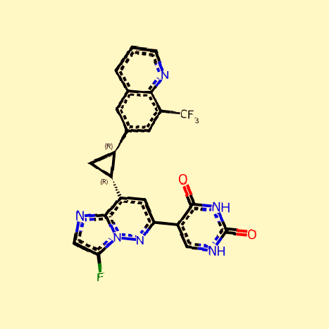 O=c1[nH]cc(-c2cc([C@@H]3C[C@H]3c3cc(C(F)(F)F)c4ncccc4c3)c3ncc(F)n3n2)c(=O)[nH]1